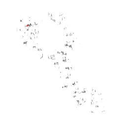 C=C1C[C@@H]2CC[C@]34CC(O)(O)C(O3)[C@@H]3O[C@H]5CC[C@H](CC(=O)C[C@@H]6C[C@@H]7OC8C[C@]9(C[C@@H]%10O[C@@]%11(CC[C@@H]%10O9)C[C@H](C)[C@@H]9O[C@@H]%10C([C@@H](O)CO)CO[C@@H]%10C[C@@H]9O%11)O[C@@H]8C[C@@H]7O[C@H]6C[C@H]6O[C@@H](CC[C@@H]1O2)C[C@@H](C)C6=C)O[C@@H]5[C@H](O4)[C@@H]3I